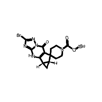 CC(C)(C)OC(=O)N1CCC2(CC1)c1c([nH]c3nc(Br)nn3c1=O)[C@H]1C[C@H]12